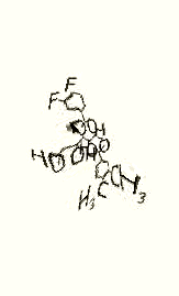 Cc1ccc(C2OC[C@@H]3OC(c4ccc(F)c(F)c4)O[C@H]([C@H](O)CO)[C@@H]3O2)cc1C